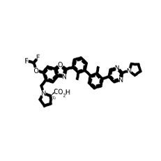 Cc1c(-c2cnc(N3CCCC3)nc2)cccc1-c1cccc(-c2nc3cc(CN4CCC[C@H]4C(=O)O)c(OC(F)F)cc3o2)c1C